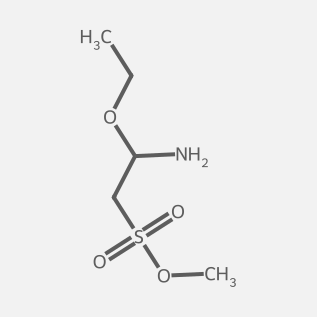 CCOC(N)CS(=O)(=O)OC